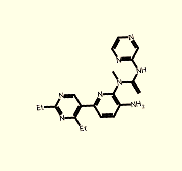 C=C(Nc1cnccn1)N(C)c1nc(-c2cnc(CC)nc2CC)ccc1N